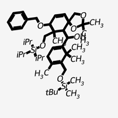 CC1=C(CO[Si](C)(C)C(C)(C)C)C(C)(C)C(C(O)C2C3(C=CC(OCc4ccccc4)C2(C)CO[Si](C(C)C)(C(C)C)C(C)C)COC(C)(C)O3)=CC1